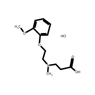 COc1ccccc1OCCN(C)CCC(=O)O.Cl